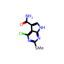 CSc1nc(Cl)c2c(C(N)=O)c[nH]c2n1